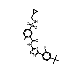 CC(C)(C)c1ccc(-c2nnc(NC(=O)c3cc(S(=O)(=O)NCC4CC4)ccc3F)s2)c(F)c1